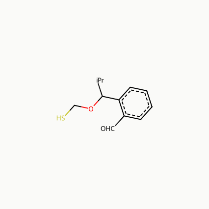 CC(C)C(OCS)c1ccccc1C=O